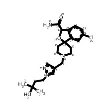 CC(C)(O)CCn1cc(CN2CCC3(CC2)OC(C(N)=O)c2ccc(Cl)cc23)cn1